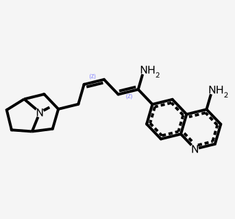 CN1C2CCC1CC(C/C=C\C=C(/N)c1ccc3nccc(N)c3c1)C2